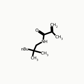 C=C(C)C(=O)NCC(C)(C)CCCC